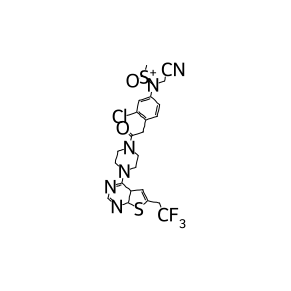 C[S+]([O-])N(CC#N)c1ccc(CC(=O)N2CCN(C3=NC=NC4SC(CC(F)(F)F)=CC34)CC2)c(Cl)c1